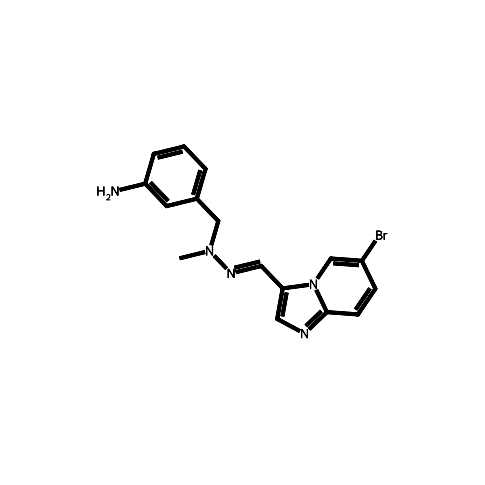 CN(Cc1cccc(N)c1)/N=C/c1cnc2ccc(Br)cn12